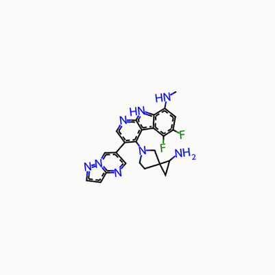 CNc1cc(F)c(F)c2c1[nH]c1ncc(-c3cnc4ccnn4c3)c(N3CCC4(CC4N)C3)c12